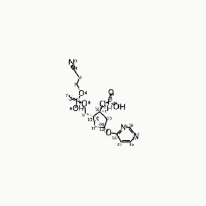 N#CCCOP(O)(=S)OC[C@H]1C[C@@H](Oc2ccncn2)C[C@@H]1O[PH](=O)O